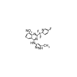 Cc1cc(Nc2nc(C(F)(F)c3ccc(F)cn3)nc3c([N+](=O)[O-])cccc23)n[nH]1